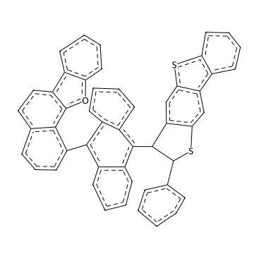 c1ccc(C2Sc3cc4c(cc3C2c2c3ccccc3c(-c3cccc5ccc6c7ccccc7oc6c35)c3ccccc23)sc2ccccc24)cc1